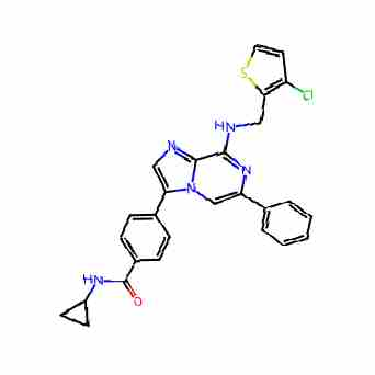 O=C(NC1CC1)c1ccc(-c2cnc3c(NCc4sccc4Cl)nc(-c4ccccc4)cn23)cc1